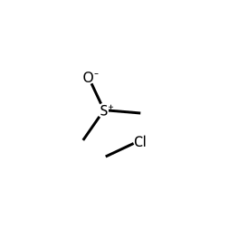 CCl.C[S+](C)[O-]